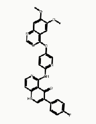 COc1cc2ncnc(Oc3ccc(Nc4nccc5[nH]cc(-c6ccc(F)cc6)c(=O)c45)nc3)c2cc1OC